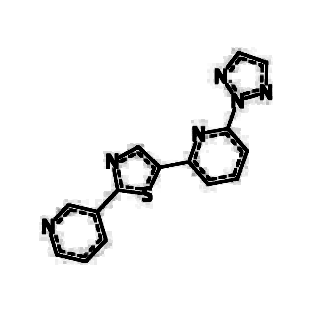 c1cncc(-c2ncc(-c3cccc(-n4nccn4)n3)s2)c1